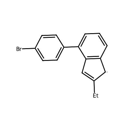 CCC1=Cc2c(cccc2-c2ccc(Br)cc2)[CH]1